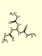 COC(=O)OC(OC(=O)OC)OC(=O)OC